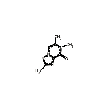 Cc1nc2c(=O)n(C)c(C)cn2n1